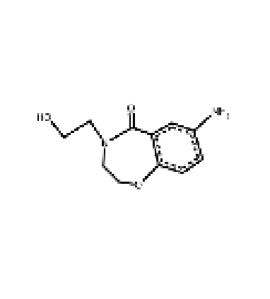 Nc1ccc2c(c1)C(=O)N(CCO)CCO2